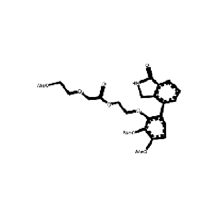 COCCOCC(=O)OCCOc1c(-c2cccc3c2CNC3=O)ccc(OC)c1OC